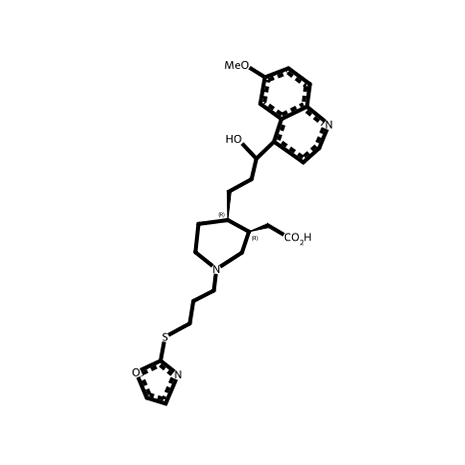 COc1ccc2nccc(C(O)CC[C@@H]3CCN(CCCSc4ncco4)C[C@@H]3CC(=O)O)c2c1